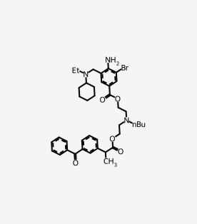 CCCCN(CCOC(=O)c1cc(Br)c(N)c(CN(CC)C2CCCCC2)c1)CCOC(=O)C(C)c1cccc(C(=O)c2ccccc2)c1